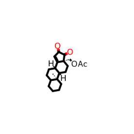 CC(=O)OC[C@]12CC[C@H]3[C@@H](CCC4CCCC[C@@]43C)C1=CC(=O)C2=O